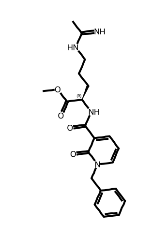 COC(=O)[C@@H](CCCNC(C)=N)NC(=O)c1cccn(Cc2ccccc2)c1=O